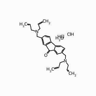 C=CCN(CC=C)Cc1ccc2c(c1)C(=O)c1cc(CN(CC=C)CC=C)ccc1-2.Cl.Cl.O